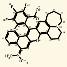 C[N+](C)=c1cc2oc3c4c5c(cc3c(-c3c(F)c(F)c(F)c(F)c3C(=O)O)c-2c2ccccc12)CCCCN5CCC4